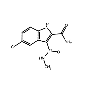 CN[S+]([O-])c1c(C(N)=O)[nH]c2ccc(Cl)cc12